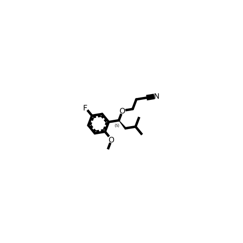 COc1ccc(F)cc1[C@H](CC(C)C)OCCC#N